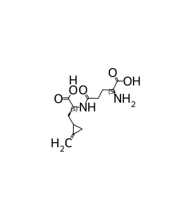 C=C1CC1C[C@H](NC(=O)CC[C@H](N)C(=O)O)C(=O)O